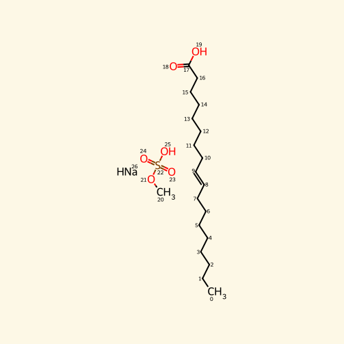 CCCCCCCCC=CCCCCCCCC(=O)O.COS(=O)(=O)O.[NaH]